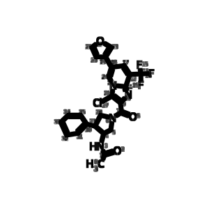 CC(=O)NC1CN(C(=O)c2nc3c(C(F)(F)F)cc(-c4ccoc4)cn3c2Cl)CC1c1ccccc1